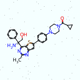 Cc1nc([C@](N)(CO)c2ccccc2)c2sc(-c3ccc(N4CCN(C(=O)C5CC5)CC4)cc3)cc2n1